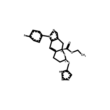 CCOC(=O)[C@]12Cc3cnn(-c4ccc(F)cc4)c3C=C1CC[C@H](Sc1cnn[nH]1)C2